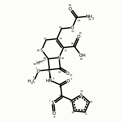 CO[C@@]1(NC(=O)C(=S=O)c2cccs2)C(=O)N2C(C(=O)O)=C(COC(N)=O)CS[C@@H]21